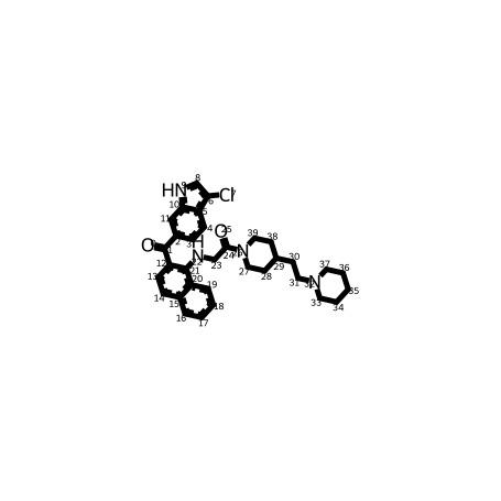 O=C(c1ccc2c(Cl)c[nH]c2c1)c1ccc2ccccc2c1NCC(=O)N1CCC(CCN2CCCCC2)CC1